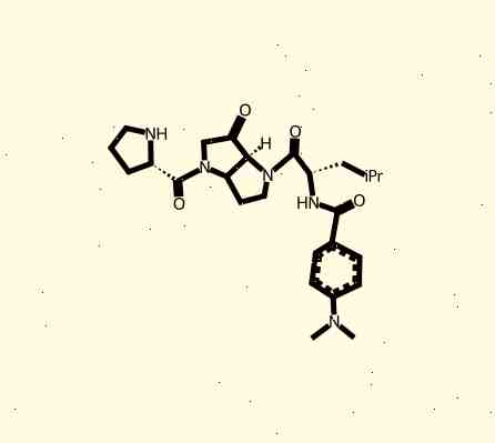 CC(C)C[C@H](NC(=O)c1ccc(N(C)C)cc1)C(=O)N1CCC2[C@H]1C(=O)CN2C(=O)[C@@H]1CCCN1